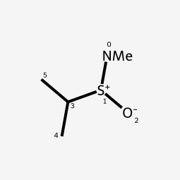 CN[S+]([O-])C(C)C